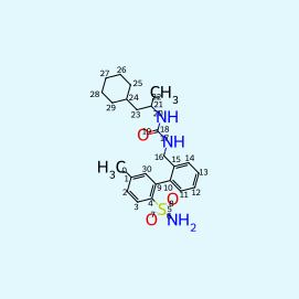 Cc1ccc(S(N)(=O)=O)c(-c2ccccc2CNC(=O)NC(C)CC2CCCCC2)c1